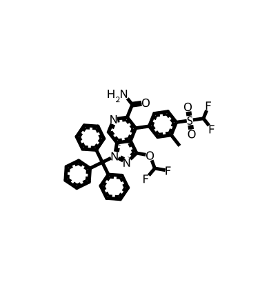 Cc1cc(-c2c(C(N)=O)ncc3c2c(OC(F)F)nn3C(c2ccccc2)(c2ccccc2)c2ccccc2)ccc1S(=O)(=O)C(F)F